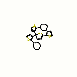 C1=C(c2cccs2)SC(c2ccsc2C2CCCCC2)(c2ccsc2C2CCCCC2)C1